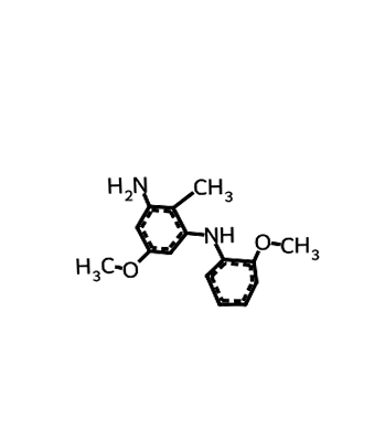 COc1cc(N)c(C)c(Nc2ccccc2OC)c1